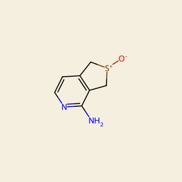 Nc1nccc2c1C[S+]([O-])C2